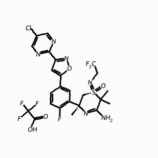 CC1(C)C(N)=N[C@](C)(c2cc(-c3cc(-c4ncc(Cl)cn4)no3)ccc2F)C[S@]1(=O)=NCC(F)(F)F.O=C(O)C(F)(F)F